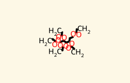 C=CC(=O)OCCC(OC(=O)C=C)C(OC(=O)C=C)C(COC(=O)C=C)OC(=O)C=C